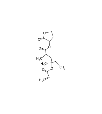 C=CC(=O)OC(C)(CC)CC(C)C(=O)OC1CCOC1=O